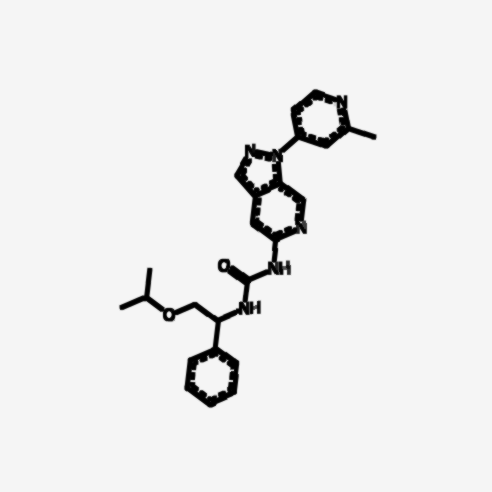 Cc1cc(-n2ncc3cc(NC(=O)NC(COC(C)C)c4ccccc4)ncc32)ccn1